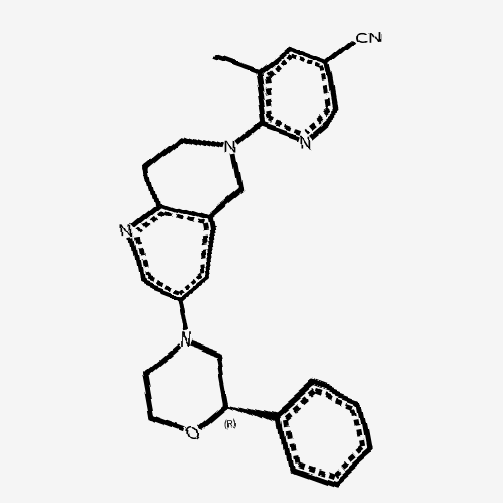 Cc1cc(C#N)cnc1N1CCc2ncc(N3CCO[C@H](c4ccccc4)C3)cc2C1